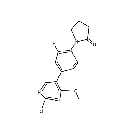 COc1cc(Cl)ncc1-c1ccc(N2CCCC2=O)c(F)c1